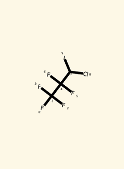 FC(F)(F)C(F)(F)C(Cl)I